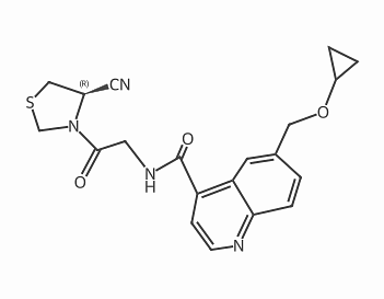 N#C[C@@H]1CSCN1C(=O)CNC(=O)c1ccnc2ccc(COC3CC3)cc12